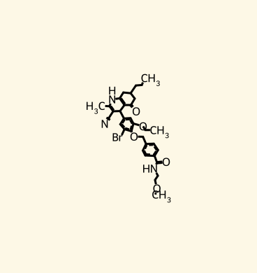 CCCC1CC(=O)C2=C(C1)NC(C)=C(C#N)C2c1cc(Br)c(OCc2ccc(C(=O)NCCOC)cc2)c(OCC)c1